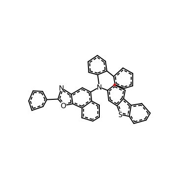 c1ccc(-c2nc3cc(N(c4ccc5c(c4)sc4ccccc45)c4ccccc4-c4ccccc4)c4ccccc4c3o2)cc1